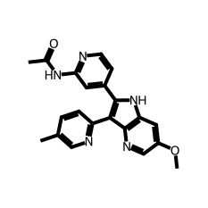 COc1cnc2c(-c3ccc(C)cn3)c(-c3ccnc(NC(C)=O)c3)[nH]c2c1